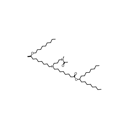 C=C(CCCCCCCN(CCCCCCCC(=O)OC(CCCCCCCC)CCCCCCCC)CCCN(C)C(C)=O)OCCCCCCCCC